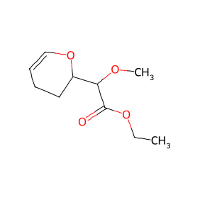 CCOC(=O)C(OC)C1CCC=CO1